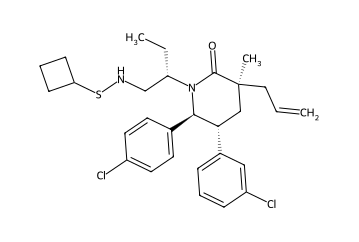 C=CC[C@@]1(C)C[C@H](c2cccc(Cl)c2)[C@@H](c2ccc(Cl)cc2)N([C@@H](CC)CNSC2CCC2)C1=O